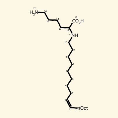 CCCCCCCC/C=C\CCCCCCCCNC(CCCCN)C(=O)O